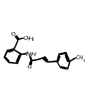 Cc1ccc(C=CC(=O)Nc2ccccc2C(=O)O)cc1